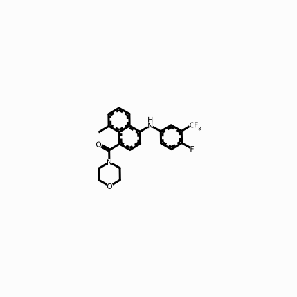 Cc1cccc2c(Nc3ccc(F)c(C(F)(F)F)c3)ccc(C(=O)N3CCOCC3)c12